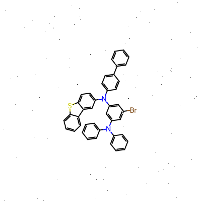 Brc1cc(N(c2ccccc2)c2ccccc2)cc(N(c2ccc(-c3ccccc3)cc2)c2ccc3sc4ccccc4c3c2)c1